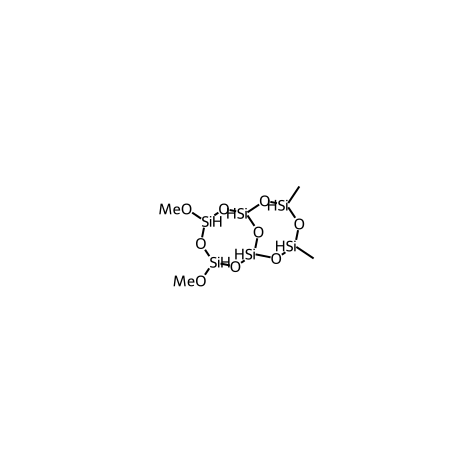 CO[SiH]1O[SiH](OC)O[SiH]2O[SiH](C)O[SiH](C)O[SiH](O1)O2